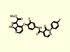 COC(=O)c1n[nH]c2nccc(Oc3ccc(NC(=O)c4ccnn(-c5ccc(F)cc5)c4=O)cc3F)c12